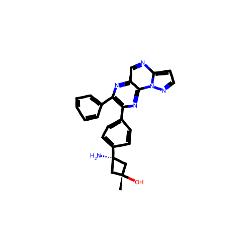 C[C@]1(O)C[C@](N)(c2ccc(-c3nc4c(cnc5ccnn54)nc3-c3ccccc3)cc2)C1